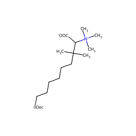 CCCCCCCCCCCCCCCCC(C)(C)C(C(=O)[O-])[N+](C)(C)C